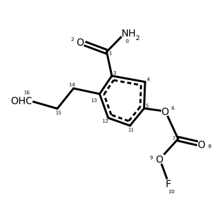 NC(=O)c1cc(OC(=O)OF)ccc1CCC=O